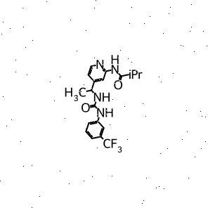 CC(C)C(=O)Nc1cc(C(C)NC(=O)Nc2cccc(C(F)(F)F)c2)ccn1